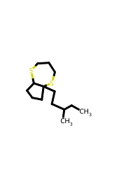 CCC(C)CCC12CCCC1SCCCS2